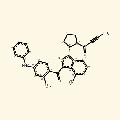 CC#CC(=O)N1CCC[C@H]1c1nc(C(=O)c2ccc(Nc3ccccc3)cc2C)c2c(N)nccn12